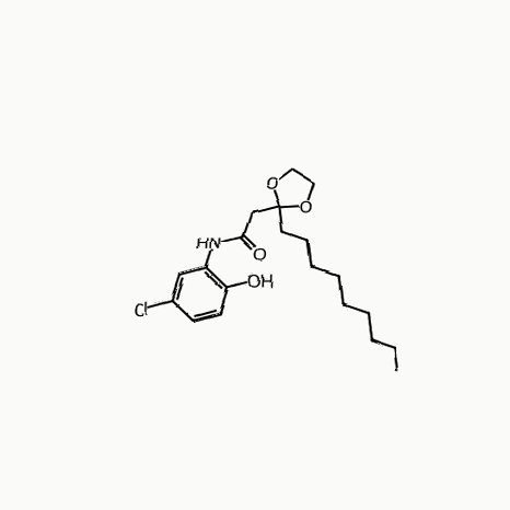 CCCCCCCCCC1(CC(=O)Nc2cc(Cl)ccc2O)OCCO1